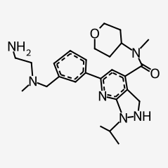 CC(C)N1NCc2c(C(=O)N(C)C3CCOCC3)cc(-c3cccc(CN(C)CCN)c3)nc21